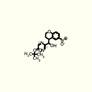 CC(C)(C)OC(=O)/C=N\C(=C/N)C(O)C1CCOc2ccc([N+](=O)[O-])cc21